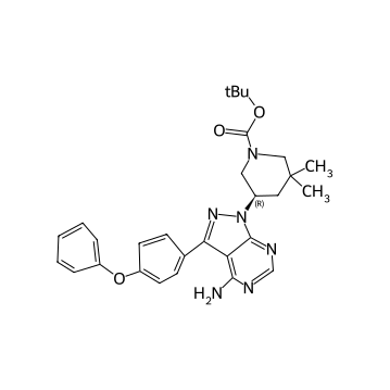 CC1(C)C[C@@H](n2nc(-c3ccc(Oc4ccccc4)cc3)c3c(N)ncnc32)CN(C(=O)OC(C)(C)C)C1